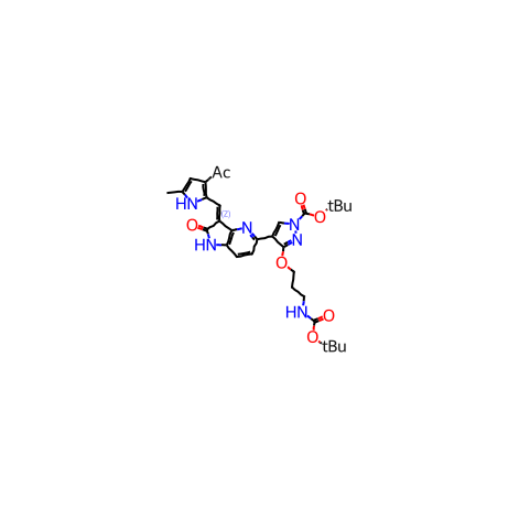 CC(=O)c1cc(C)[nH]c1/C=C1\C(=O)Nc2ccc(-c3cn(C(=O)OC(C)(C)C)nc3OCCCNC(=O)OC(C)(C)C)nc21